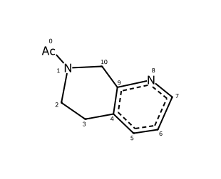 CC(=O)N1CCc2cccnc2C1